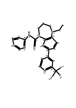 CCN1CCCN(C(=O)Nc2ccncn2)c2nc(-c3ccnc(C(F)(F)F)c3)ccc21